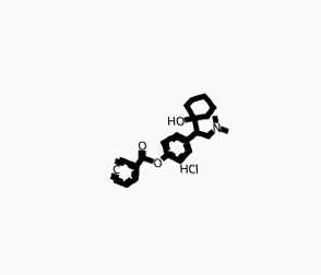 CN(C)CC(c1ccc(OC(=O)c2ccccc2)cc1)C1(O)CCCCC1.Cl